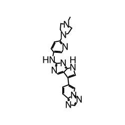 CN1CCN(c2ccc(Nc3ncc4c(-c5ccc6ncnn6c5)c[nH]c4n3)cn2)CC1